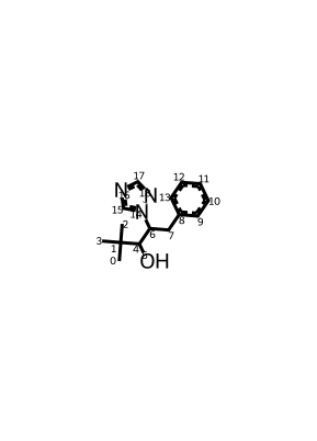 CC(C)(C)C(O)C(Cc1ccccc1)n1cncn1